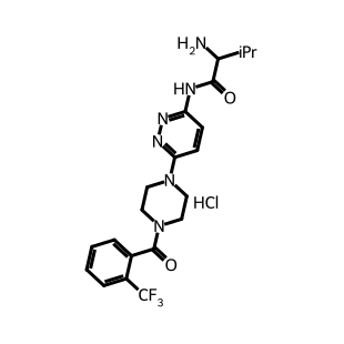 CC(C)C(N)C(=O)Nc1ccc(N2CCN(C(=O)c3ccccc3C(F)(F)F)CC2)nn1.Cl